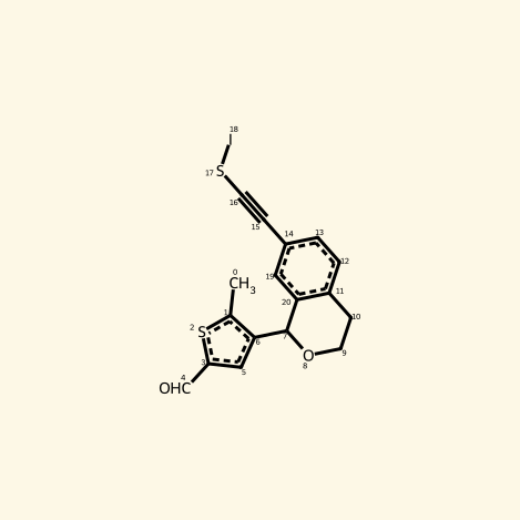 Cc1sc(C=O)cc1C1OCCc2ccc(C#CSI)cc21